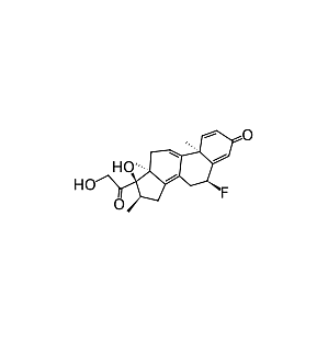 C[C@@H]1CC2=C3C[C@H](F)C4=CC(=O)C=C[C@]4(C)C3=CC[C@]2(C)[C@@]1(O)C(=O)CO